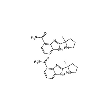 CC1(c2nc3c(C(N)=O)cccc3[nH]2)CCCN1.C[C@]1(c2nc3c(C(N)=O)cccc3[nH]2)CCCN1